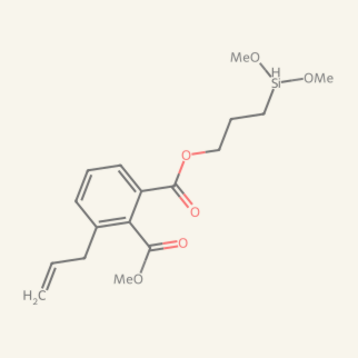 C=CCc1cccc(C(=O)OCCC[SiH](OC)OC)c1C(=O)OC